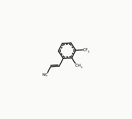 Cc1c(C=CC#N)cccc1C(F)(F)F